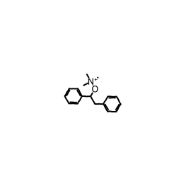 C[N+](C)(C)OC(Cc1ccccc1)c1ccccc1